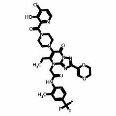 CCc1c(N2CCN(C(=O)c3nccc(Cl)c3O)CC2)c(=O)n2nc(C3=COCCO3)nc2n1CC(=O)Nc1ccc(C(F)(F)F)cc1C